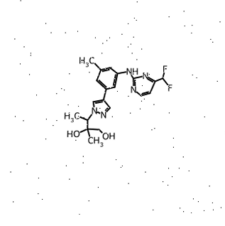 Cc1cc(Nc2nccc(C(F)F)n2)cc(-c2cnn(C(C)C(C)(O)CO)c2)c1